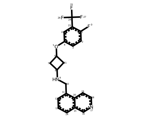 Fc1ccc(OC2CC(NCc3cccc4cnccc34)C2)cc1C(F)(F)F